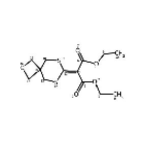 CCOC(=O)C(C(=O)OCC)=C1SCC2(COC2)CS1